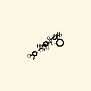 CN(C(=O)C1CC(C)(C2CCCCCCCC2)NO1)C12CCC(NC(=O)COc3ccc(Cl)c(F)c3)(CC1)[C@@H](O)C2